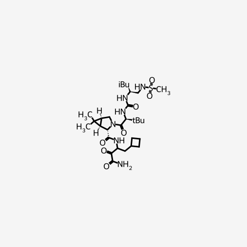 CC[C@H](C)[C@@H](CNS(C)(=O)=O)NC(=O)N[C@H](C(=O)N1C[C@H]2[C@@H]([C@H]1C(=O)NC(CC1CCC1)C(=O)C(N)=O)C2(C)C)C(C)(C)C